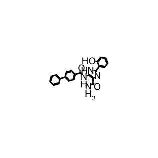 NC(=O)c1nc(-c2ccccc2O)[nH]c1NC(=O)c1ccc(-c2ccccc2)cc1